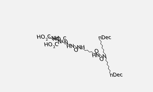 CCCCCCCCCCCCCCCCCCN(CCCCCCCCCCCCCCCCCC)C(=O)CNC(=O)CCCCCCCNC(=O)CNCCN(CCN(CCNCC(=O)O)CC(=O)O)CC(=O)O